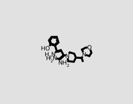 CC(C1CCN(C(/C=C(\N)c2ccccc2O)=C(N)N)CC1)N1CCOCC1